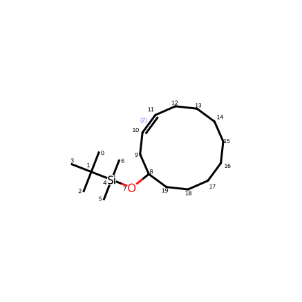 CC(C)(C)[Si](C)(C)OC1C/C=C\CCCCCCCC1